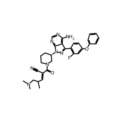 CC(C=C(C#N)C(=O)N1CCC[C@@H](n2nc(-c3ccc(Oc4ccccc4)cc3F)c3c(N)ncnc32)C1)CN(C)C